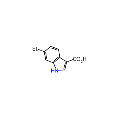 CCc1ccc2c(C(=O)O)c[nH]c2c1